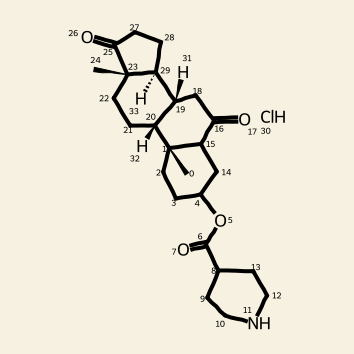 C[C@]12CCC(OC(=O)C3CCNCC3)CC1C(=O)C[C@@H]1[C@H]2CC[C@]2(C)C(=O)CC[C@@H]12.Cl